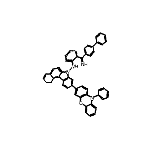 N=C(c1ccc(-c2ccccc2)cc1)c1ccccc1Nn1c2cc(-c3ccc4c(c3)Oc3ccccc3N4c3ccccc3)ccc2c2c3c(ccc21)C=CCC3